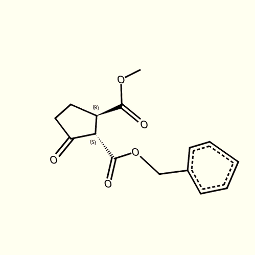 COC(=O)[C@@H]1CCC(=O)[C@H]1C(=O)OCc1ccccc1